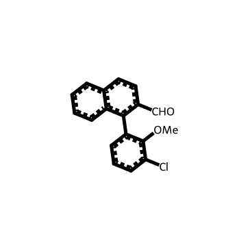 COc1c(Cl)cccc1-c1c(C=O)ccc2ccccc12